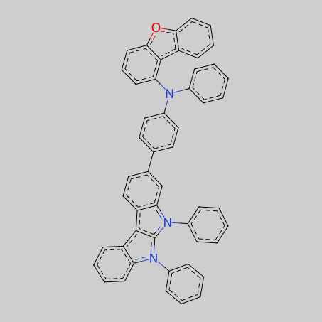 c1ccc(N(c2ccc(-c3ccc4c5c6ccccc6n(-c6ccccc6)c5n(-c5ccccc5)c4c3)cc2)c2cccc3oc4ccccc4c23)cc1